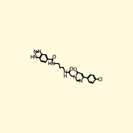 O=C(Cn1cnc(-c2ccc(Cl)cc2)cc1=O)NCCCNC(=O)c1ccc2[nH]nnc2c1